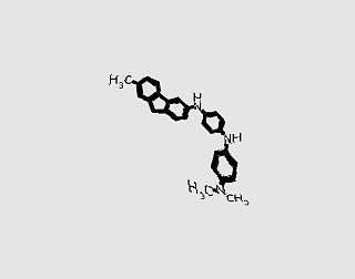 Cc1ccc2c(c1)Cc1ccc(Nc3ccc(Nc4ccc(N(C)C)cc4)cc3)cc1-2